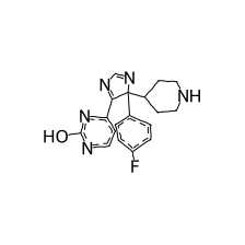 Oc1nccc(C2=NC=NC2(c2ccc(F)cc2)C2CCNCC2)n1